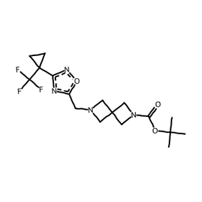 CC(C)(C)OC(=O)N1CC2(CN(Cc3nc(C4(C(F)(F)F)CC4)no3)C2)C1